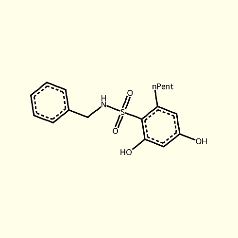 CCCCCc1cc(O)cc(O)c1S(=O)(=O)NCc1ccccc1